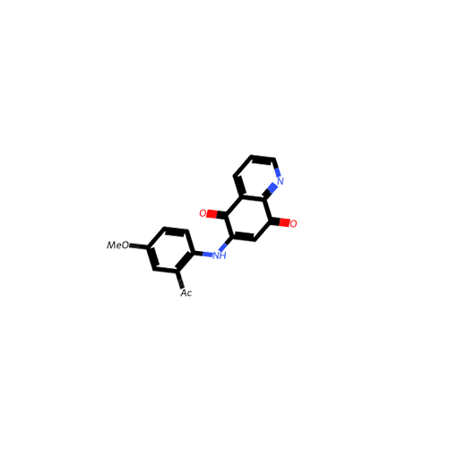 COc1ccc(NC2=CC(=O)c3ncccc3C2=O)c(C(C)=O)c1